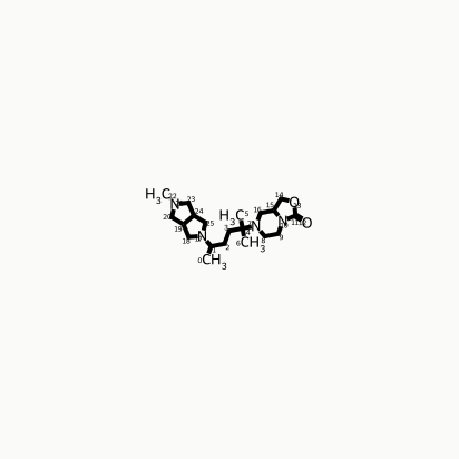 CC(CCC(C)(C)N1CCN2C(=O)OCC2C1)N1CC2CN(C)CC2C1